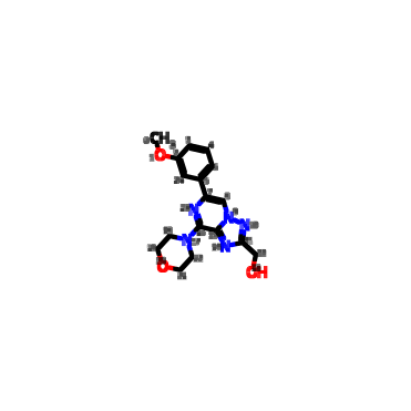 COc1cccc(-c2cn3nc(CO)nc3c(N3CCOCC3)n2)c1